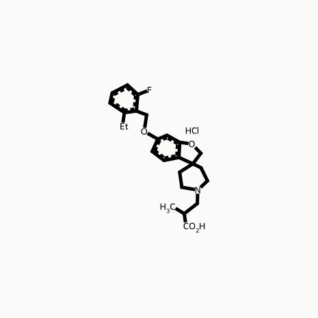 CCc1cccc(F)c1COc1ccc2c(c1)OCC21CCN(CC(C)C(=O)O)CC1.Cl